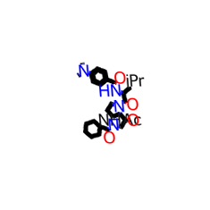 CC(=O)NC1(C(=O)N2CC(=O)C3C2CCN3C(=O)C(CC(C)C)NC(=O)c2ccc(N(C)C)cc2)CCCCC1